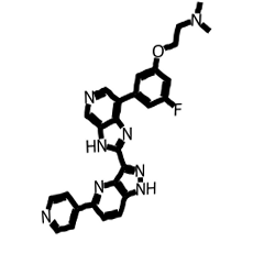 CN(C)CCOc1cc(F)cc(-c2cncc3[nH]c(-c4n[nH]c5ccc(-c6ccncc6)nc45)nc23)c1